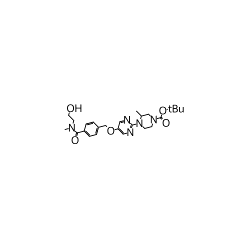 CC1CN(C(=O)OC(C)(C)C)CCN1c1ncc(OCc2ccc(C(=O)N(C)CCO)cc2)cn1